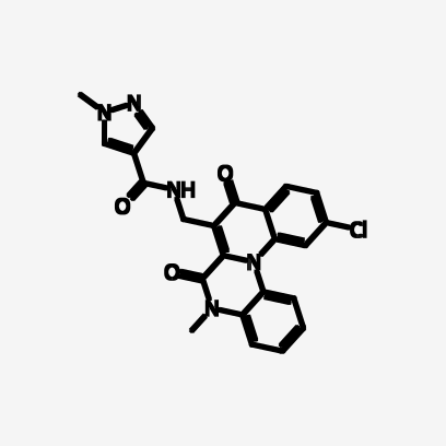 Cn1cc(C(=O)NCc2c(=O)c3ccc(Cl)cc3n3c2c(=O)n(C)c2ccccc23)cn1